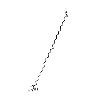 O=C=NCCCCCCCCCCCCCCCCCCCCCCCCCCCCCCC(=O)NO